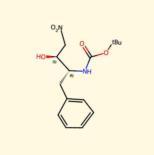 CC(C)(C)OC(=O)N[C@H](Cc1ccccc1)[C@@H](O)C[N+](=O)[O-]